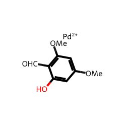 COc1cc(O)c(C=O)c(OC)c1.[Pd+2]